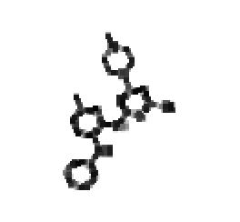 CCc1nc(Nc2nc(C)ccc2Nc2ccccc2)nc(N2CCN(C)CC2)n1